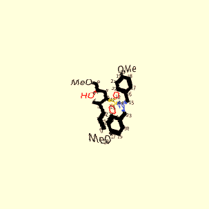 C=CCC(C)C(CC(O)COC)S(=O)(=O)N(Cc1ccc(OC)cc1)Cc1ccc(OC)cc1